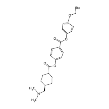 CCC(C)COc1ccc(OC(=O)c2ccc(OC(=O)[C@H]3CC[C@H](CN(C)C)CC3)cc2)cc1